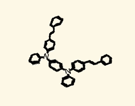 C(=C\c1ccc(N(c2ccccc2)c2ccc(N(c3ccccc3)c3ccc(/C=C/c4ccccc4)cc3)cc2)cc1)/c1ccccc1